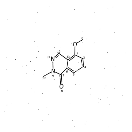 COc1cccc2c(=O)n(C)ncc12